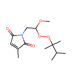 COC(CN1C(=O)C=C(C)C1=O)OOC(C)(C)C(C)C